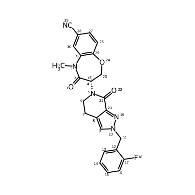 CN1C(=O)[C@@H](N2CCc3cn(Cc4ccccc4F)nc3C2=O)COc2ccc(C#N)cc21